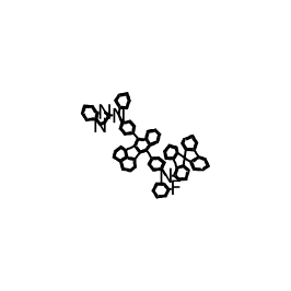 Fc1ccccc1N(c1ccc(-c2c3c(c(-c4ccc(N(c5ccccc5)c5cnc6ccccc6n5)cc4)c4ccccc24)-c2cccc4cccc-3c24)cc1)c1cccc2c1-c1ccccc1C21c2ccccc2-c2ccccc21